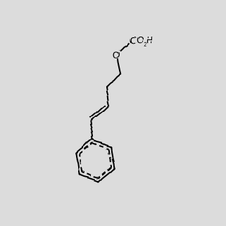 O=C(O)OCCC=Cc1ccccc1